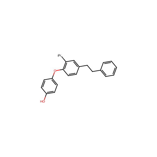 CC(C)c1cc(CCc2ccccc2)ccc1Oc1ccc(O)cc1